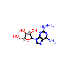 NNc1nc(N)c2ncn(C3O[C@H](CO)C(O)[C@H]3O)c2n1